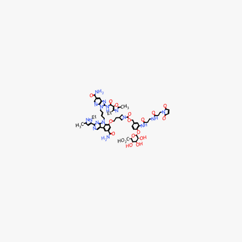 CCc1nc(C)oc1C(=O)Nc1nc2cc(C(N)=O)cnc2n1C/C=C/Cn1c2nc(-c3cc(C)nn3CC)ncc2c2cc(C(N)=O)cc(OCCC3CN(C(=O)OCc4ccc(O[C@@H]5O[C@H](C(=O)O)[C@@H](O)[C@H](O)[C@H]5O)c(NC(=O)CCNC(=O)CCN5C(=O)C=CC5=O)c4)C3)c21